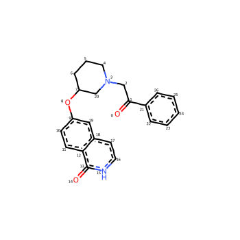 O=C(CN1CCCC(Oc2ccc3c(=O)[nH]ccc3c2)C1)c1ccccc1